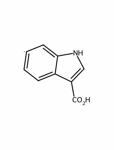 O=C(O)c1c[nH]c2c[c]ccc12